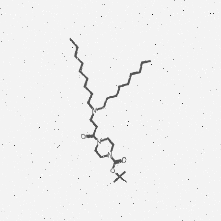 CCCCCCCCCN(CCCCCCCCC)CCC(=O)N1CCN(C(=O)OC(C)(C)C)CC1